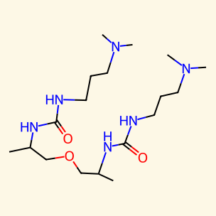 CC(COCC(C)NC(=O)NCCCN(C)C)NC(=O)NCCCN(C)C